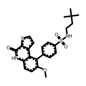 COc1ccc2[nH]c(=O)c3sccc3c2c1-c1ccc(S(=O)(=O)NCCC(C)(C)C)cc1